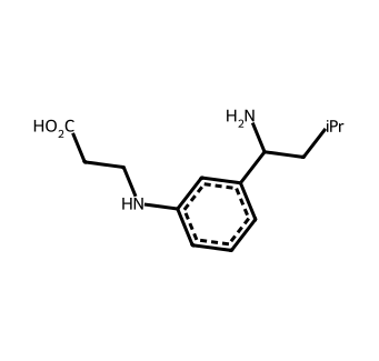 CC(C)CC(N)c1cccc(NCCC(=O)O)c1